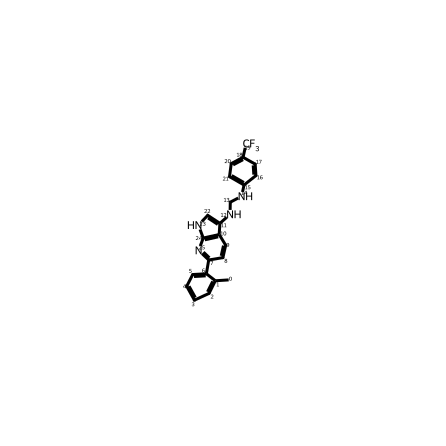 Cc1ccccc1-c1ccc2c(NCNc3ccc(C(F)(F)F)cc3)c[nH]c2n1